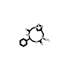 CN1Cc2cn(nn2)CC(=O)NC(c2ccccc2)COC1=O